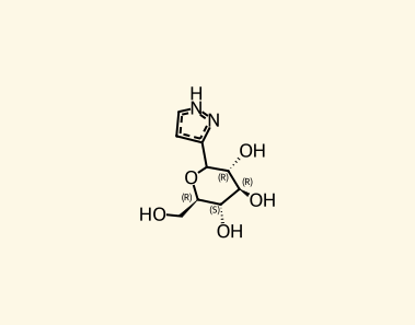 OC[C@H]1OC(c2cc[nH]n2)[C@H](O)[C@@H](O)[C@@H]1O